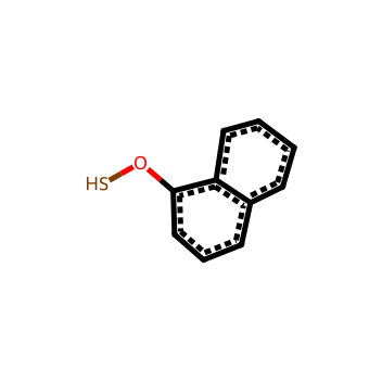 SOc1cccc2ccccc12